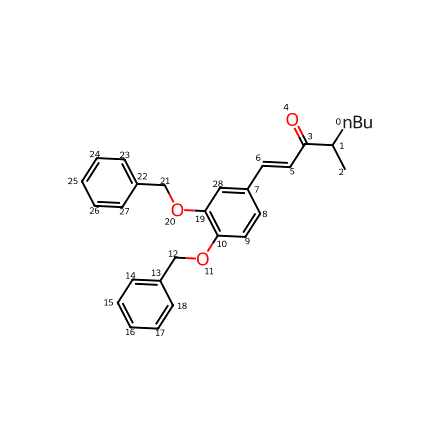 CCCCC(C)C(=O)C=Cc1ccc(OCc2ccccc2)c(OCc2ccccc2)c1